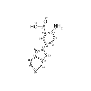 Nc1ccc(-c2nc3ccccc3s2)cc1C(=O)O